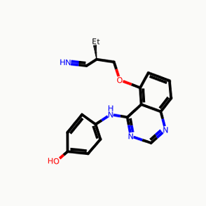 CC[C@H](C=N)COc1cccc2ncnc(Nc3ccc(O)cc3)c12